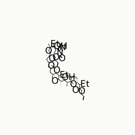 C=CCOC(=O)[C@H](CC)[C@H]1CCC(C)[C@H]([C@@H](C)[C@H](O)[C@H](C)C(=O)[C@H](CC)[C@H]2O[C@]3(C=C[C@@H](OC(=O)n4ccnc4)[C@]4(CC[C@@](C)([C@H]5CC[C@](O)(CC)[C@H](C)O5)O4)O3)[C@H](C)C[C@@H]2C)O1